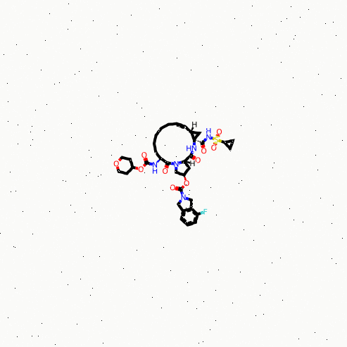 O=C(N[C@H]1CCCCC/C=C\[C@@H]2C[C@@]2(C(=O)NS(=O)(=O)C2CC2)NC(=O)[C@@H]2C[C@@H](OC(=O)N3Cc4cccc(F)c4C3)CN2C1=O)OC1CCOCC1